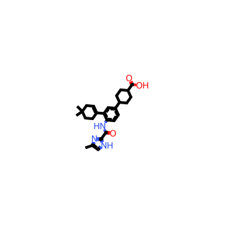 Cc1c[nH]c(C(=O)Nc2ccc(C3CCC(C(=O)O)CC3)cc2C2=CCC(C)(C)CC2)n1